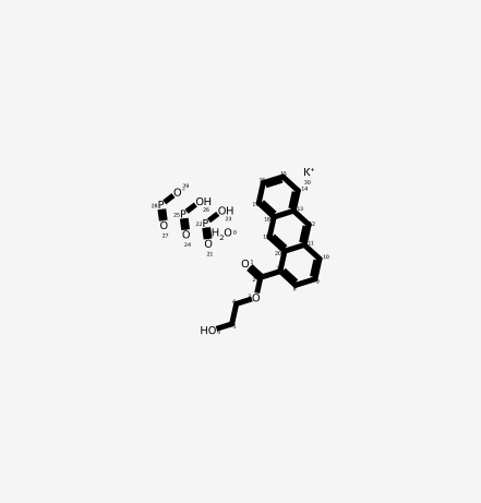 O.O=C(OCCO)c1cccc2cc3ccccc3cc12.O=PO.O=PO.O=P[O-].[K+]